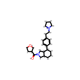 O=C(C1CCOC1)N1CC2CCCC(c3ccc(CCN4CCCC4)cc3)C2C1